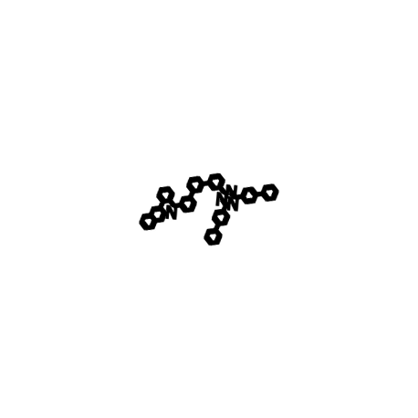 c1ccc(-c2ccc(-c3nc(-c4ccc(-c5ccccc5)cc4)nc(-c4cccc(-c5cccc(-c6cccc(-c7nc8cc9ccccc9cc8c8ccccc78)c6)c5)c4)n3)cc2)cc1